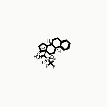 NC([C@]12CC[C@@H]3c4ccccc4CC[C@H]3[C@@H]1CCC2=O)S(=O)(=O)C(F)(F)F